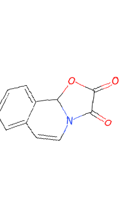 O=C1OC2c3ccccc3C=CN2C1=O